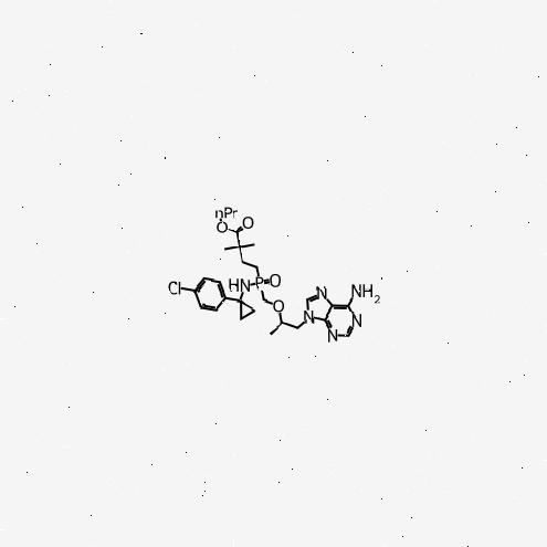 CCCOC(=O)C(C)(C)CCP(=O)(CO[C@H](C)Cn1cnc2c(N)ncnc21)NC1(c2ccc(Cl)cc2)CC1